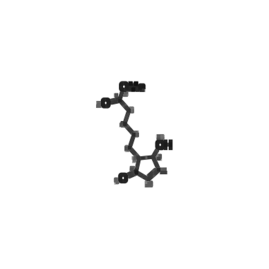 COC(=O)CCCCC1C(=O)C=CC1O